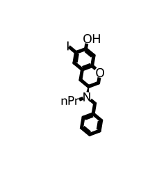 CCCN(Cc1ccccc1)[C@@H]1COc2cc(O)c(I)cc2C1